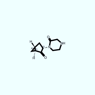 O=C1[C@H]2C[C@@H]2C[C@@H]1N1CCNCC1=O